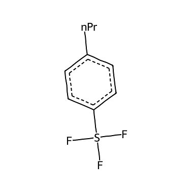 CCCc1ccc(S(F)(F)F)cc1